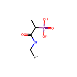 CC(C)CNC(=O)C(C)P(=O)(O)O